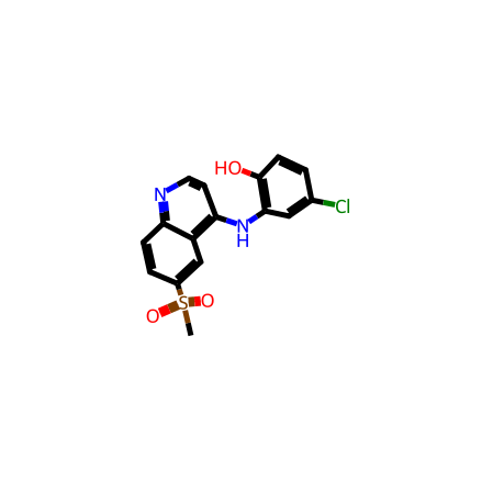 CS(=O)(=O)c1ccc2nccc(Nc3cc(Cl)ccc3O)c2c1